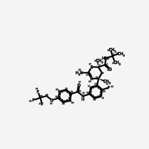 CC(C)(C)NC(=O)[C@@]1(C)C[C@@](C)(c2cc(NC(=O)c3cnc(OCC(F)(F)F)cn3)ccc2F)N=C(N)S1